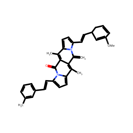 C=c1c2c(C)c3ccc(/C=C/c4cccc(C)c4)n3c(=O)c2c(C)c2ccc(/C=C/C3C=C(OC)C=CC3)n12